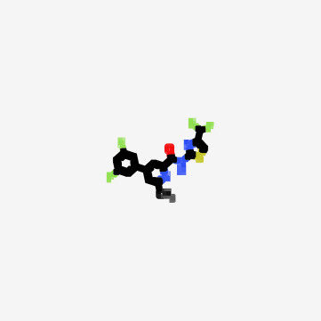 Cc1cc(-c2cc(F)cc(F)c2)cc(C(=O)Nc2nc(C(F)F)cs2)n1